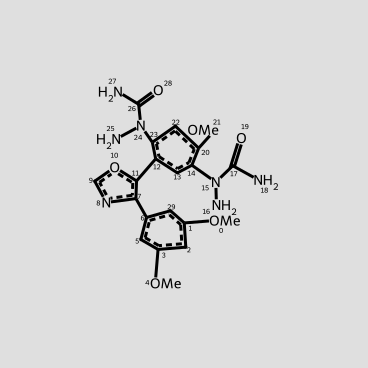 COc1cc(OC)cc(-c2ncoc2-c2cc(N(N)C(N)=O)c(OC)cc2N(N)C(N)=O)c1